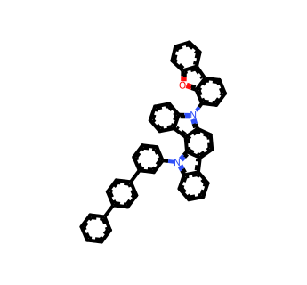 c1ccc(-c2ccc(-c3cccc(-n4c5ccccc5c5ccc6c(c7ccccc7n6-c6cccc7c6oc6ccccc67)c54)c3)cc2)cc1